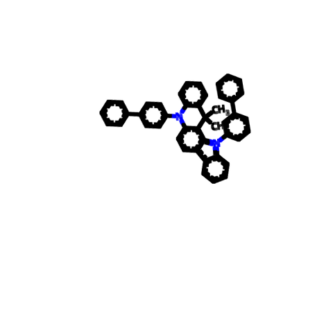 CC1(C)c2ccccc2N(c2ccc(-c3ccccc3)cc2)c2ccc3c4ccccc4n(-c4cccc(-c5ccccc5)c4)c3c21